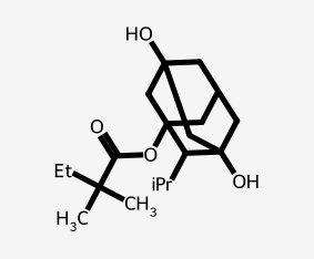 CCC(C)(C)C(=O)OC12CC3CC(O)(CC(O)(C3)C1C(C)C)C2